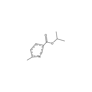 Cc1ccc(C(=O)OC(C)C)cn1